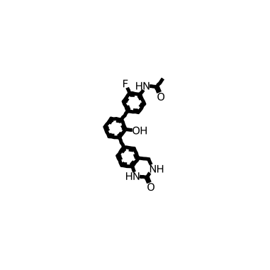 CC(=O)Nc1ccc(-c2cccc(-c3ccc4c(c3)CNC(=O)N4)c2O)cc1F